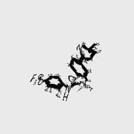 Cc1ccc(-c2cccc(CN(C(=O)Nc3ccc(OC(F)(F)F)cc3)C(C)C)c2)nc1